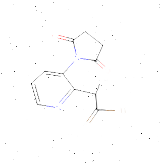 CC(C(=S)S)c1ncccc1N1C(=O)CCC1=O